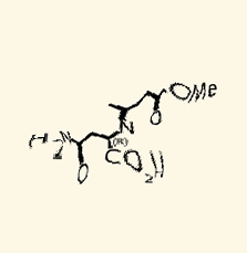 COC(=O)CC(C)=N[C@H](CC(N)=O)C(=O)O